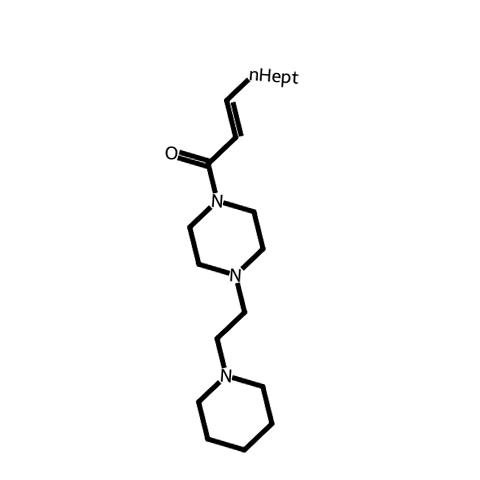 CCCCCCCC=CC(=O)N1CCN(CCN2CCCCC2)CC1